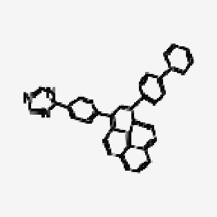 c1ccc(-c2ccc(-c3cc(-c4ccc(-c5ncncn5)cc4)c4ccc5cccc6ccc3c4c65)cc2)cc1